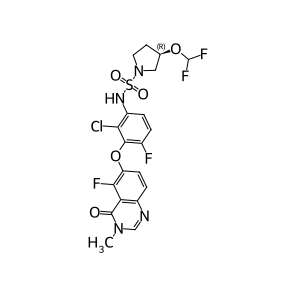 Cn1cnc2ccc(Oc3c(F)ccc(NS(=O)(=O)N4CC[C@@H](OC(F)F)C4)c3Cl)c(F)c2c1=O